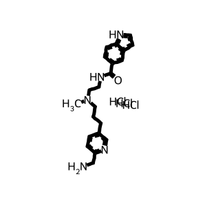 CN(CCCc1ccc(CN)nc1)CCNC(=O)c1ccc2[nH]ccc2c1.Cl.Cl.Cl